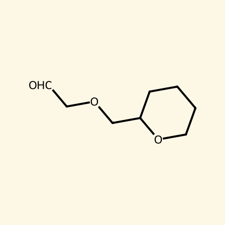 O=CCOCC1CCCCO1